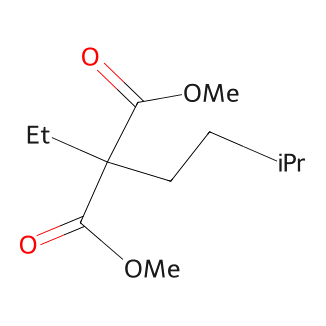 CCC(CCC(C)C)(C(=O)OC)C(=O)OC